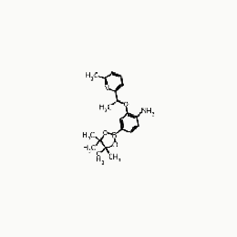 Cc1cccc([C@H](C)Oc2cc(B3OC(C)(C)C(C)(C)O3)ccc2N)n1